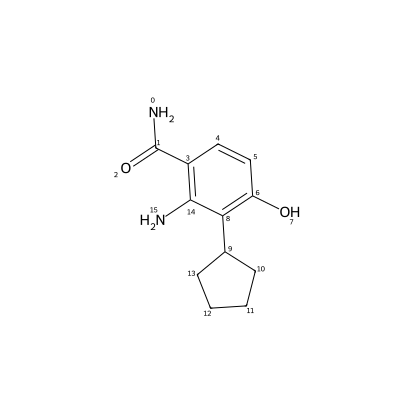 NC(=O)c1ccc(O)c(C2CCCC2)c1N